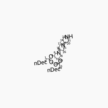 CCCCCCCCCCCC(=O)OCCN(CCOC(=O)CCCCCCCCCCC)C1CCN(C2CCNCC2)CC1